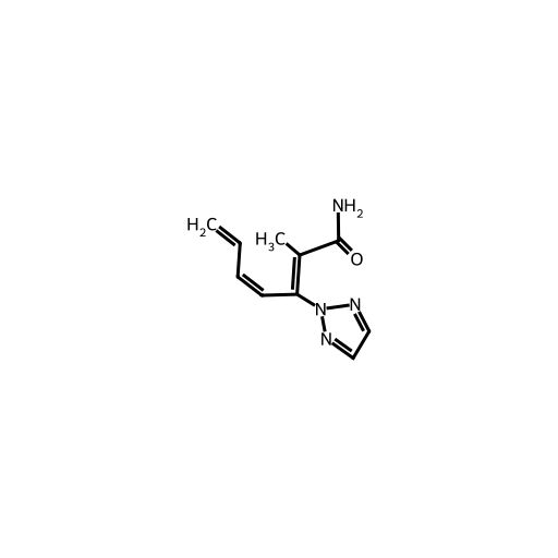 C=C/C=C\C(=C(/C)C(N)=O)n1nccn1